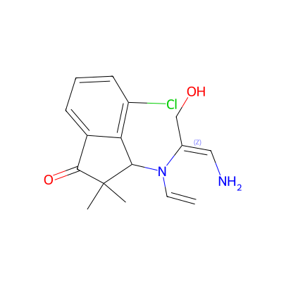 C=CN(/C(=C\N)CO)C1c2c(Cl)cccc2C(=O)C1(C)C